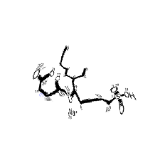 CCCCC(CC)C(CCCS(=O)(=O)O)OC(=O)/C=C\C(=O)[O-].[Na+]